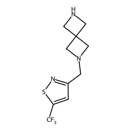 FC(F)(F)c1cc(CN2CC3(CNC3)C2)ns1